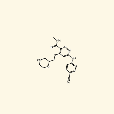 CNC(=O)c1nnc(Nc2ccc(C#N)cn2)cc1OCC1CNCCO1